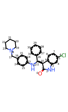 O=C1Nc2cc(Cl)ccc2/C1=C(/Nc1ccc(CN2CCCCC2)cc1)c1ccccc1